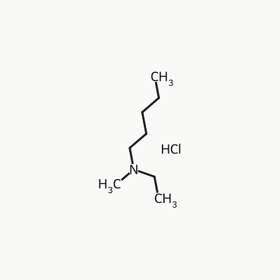 CCCCCN(C)CC.Cl